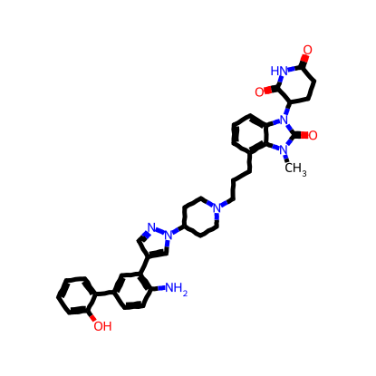 Cn1c(=O)n(C2CCC(=O)NC2=O)c2cccc(CCCN3CCC(n4cc(-c5cc(-c6ccccc6O)ccc5N)cn4)CC3)c21